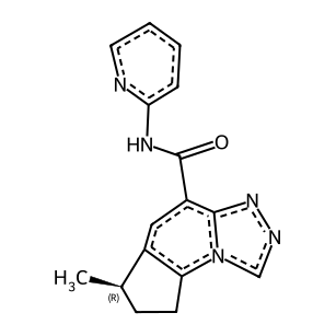 C[C@@H]1CCc2c1cc(C(=O)Nc1ccccn1)c1nncn21